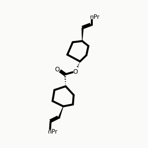 CCCC=C[C@H]1CC[C@H](OC(=O)[C@H]2CC[C@H](C=CCCC)CC2)CC1